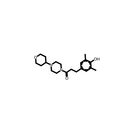 Cc1cc(CCC(=O)N2CCN(C3CCOCC3)CC2)cc(C)c1O